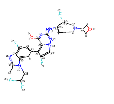 COc1nc(N[C@H]2CCN(C3COC3)C[C@H]2F)nn2cc(F)c(-c3cc(F)c4nc(C)n(CC(F)F)c4c3)c12